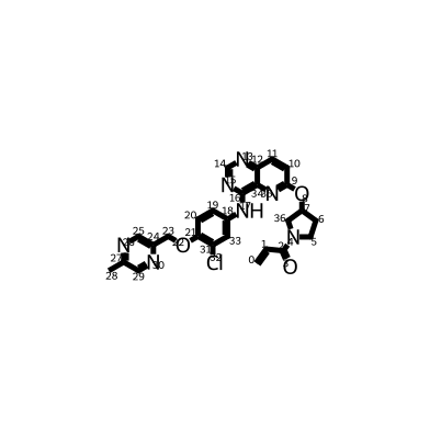 C=CC(=O)N1CCC(Oc2ccc3ncnc(Nc4ccc(OCc5cnc(C)cn5)c(Cl)c4)c3n2)C1